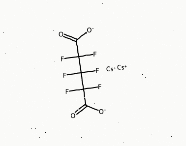 O=C([O-])C(F)(F)C(F)(F)C(F)(F)C(=O)[O-].[Cs+].[Cs+]